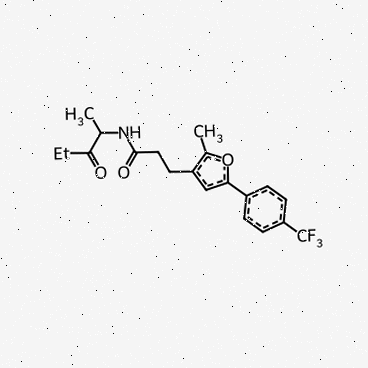 CCC(=O)C(C)NC(=O)CCc1cc(-c2ccc(C(F)(F)F)cc2)oc1C